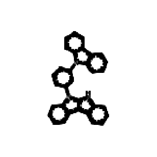 c1cc(-n2c3ccccc3c3ccccc32)cc(-n2c3ccccc3c3c4ccccc4[nH]c32)c1